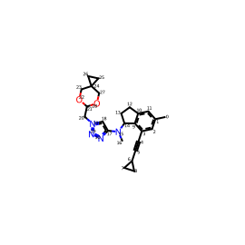 Cc1cc(C#CC2CC2)c2c(c1)CCC2N(C)c1cn(CC2OCC3(CC3)CO2)nn1